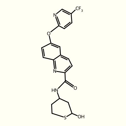 O=C(NC1CCSC(O)C1)c1ccc2cc(Oc3ccc(C(F)(F)F)cn3)ccc2n1